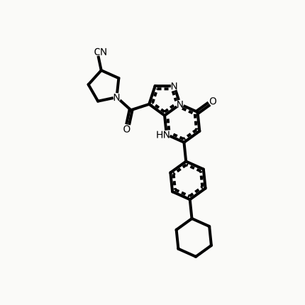 N#CC1CCN(C(=O)c2cnn3c(=O)cc(-c4ccc(C5CCCCC5)cc4)[nH]c23)C1